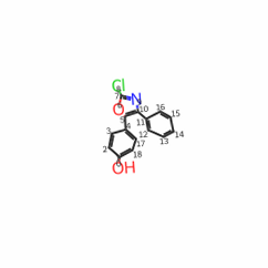 Oc1ccc(-c2oc(Cl)nc2-c2ccccc2)cc1